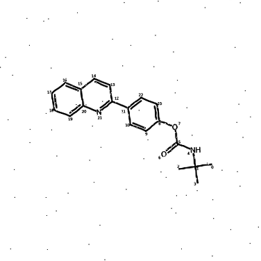 CC(C)(C)NC(=O)Oc1ccc(-c2ccc3ccccc3n2)cc1